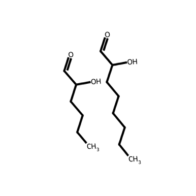 CCCCC(O)C=O.CCCCCCC(O)C=O